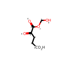 O=C(O)CCC(=O)C(=O)OCO